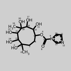 CC1(O)CCC(OC(=O)n2ccnc2)C(O)C(O)C(C)(O)C(O)C1O